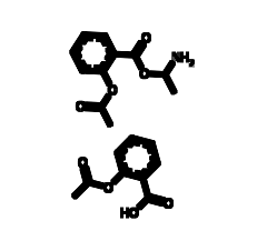 CC(=O)Oc1ccccc1C(=O)O.CC(=O)Oc1ccccc1C(=O)OC(C)N